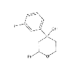 CCC1CC(O)(c2cccc(I)c2)CCO1